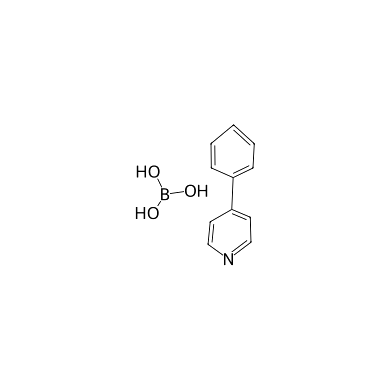 OB(O)O.c1ccc(-c2ccncc2)cc1